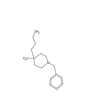 CCCCC1(C)CCN(Cc2ccccc2)CC1